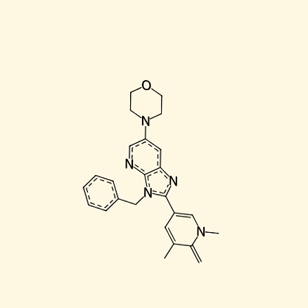 C=C1C(C)=CC(c2nc3cc(N4CCOCC4)cnc3n2Cc2ccccc2)=CN1C